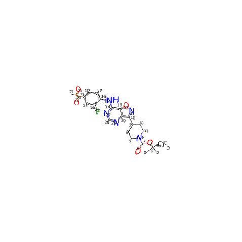 CC(C)(OC(=O)N1CCC(c2noc3c(Nc4ccc(S(C)(=O)=O)cc4F)ncnc23)CC1)C(F)(F)F